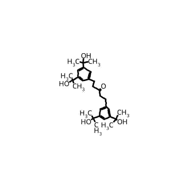 CC(C)(O)c1cc(CCC(=O)CCc2cc(C(C)(C)O)cc(C(C)(C)O)c2)cc(C(C)(C)O)c1